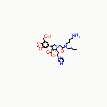 CCCCN(CCCCN)C(=O)CN1C[C@H](c2cc(CO)c3c(c2)OCO3)[C@@H](C(=O)O)[C@@H]1CCn1ccnc1